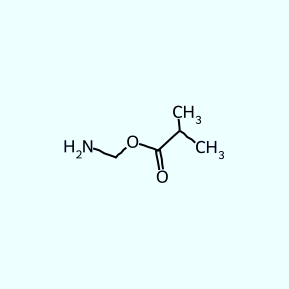 CC(C)C(=O)OCN